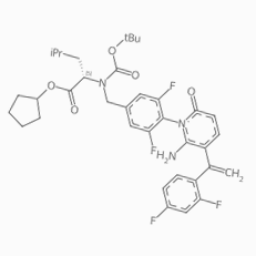 C=C(c1ccc(F)cc1F)c1ccc(=O)n(-c2c(F)cc(CN(C(=O)OC(C)(C)C)[C@@H](CC(C)C)C(=O)OC3CCCC3)cc2F)c1N